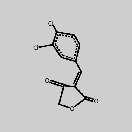 O=C1COC(=O)C1=Cc1ccc(Cl)c(Cl)c1